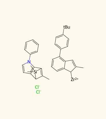 CC1=C2c3c(ccn3-c3ccccc3)C1[Si]2(C)C.CC1=Cc2c(-c3ccc(C(C)(C)C)cc3)cccc2[CH]1[Zr+2].[Cl-].[Cl-]